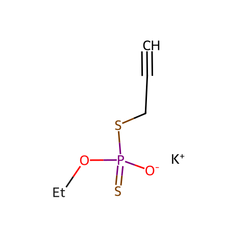 C#CCSP([O-])(=S)OCC.[K+]